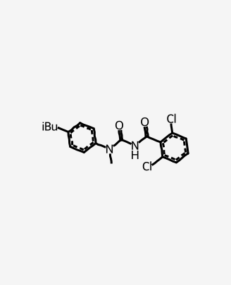 CCC(C)c1ccc(N(C)C(=O)NC(=O)c2c(Cl)cccc2Cl)cc1